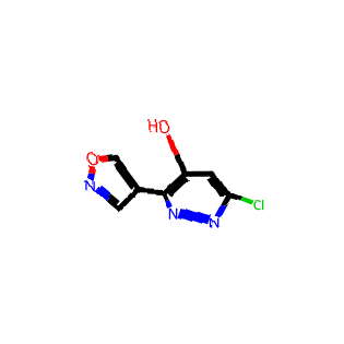 Oc1cc(Cl)nnc1-c1cnoc1